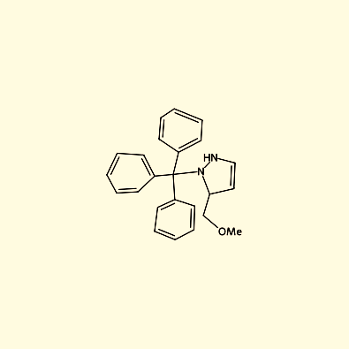 COCC1C=CNN1C(c1ccccc1)(c1ccccc1)c1ccccc1